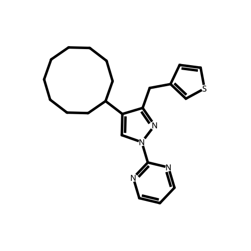 c1cnc(-n2cc(C3CCCCCCCCC3)c(Cc3ccsc3)n2)nc1